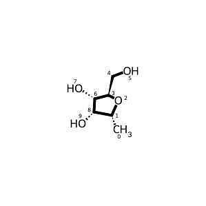 C[C@H]1O[C@H](CO)[C@@H](O)[C@H]1O